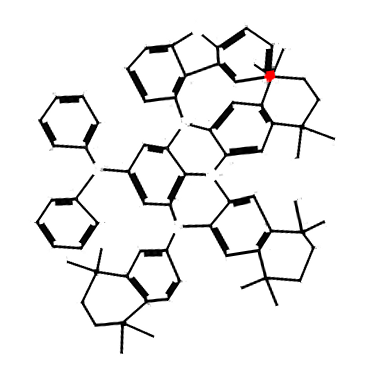 CC1(C)CCC(C)(C)c2cc(N3c4cc5c(cc4B4c6cc7c(cc6N(c6cccc8sc9ccccc9c68)c6cc(N(c8ccccc8)c8ccccc8)cc3c64)C(C)(C)CCC7(C)C)C(C)(C)CCC5(C)C)ccc21